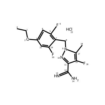 CCOc1cc(F)c(Cn2nc(C(=N)N)c(F)c2C)c(F)c1.Cl